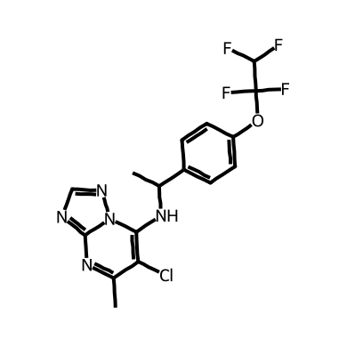 Cc1nc2ncnn2c(NC(C)c2ccc(OC(F)(F)C(F)F)cc2)c1Cl